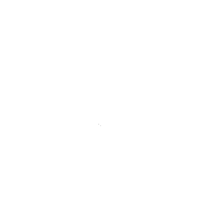 CCc1cccn1[S+]([O-])c1cc(C)cc(C)c1